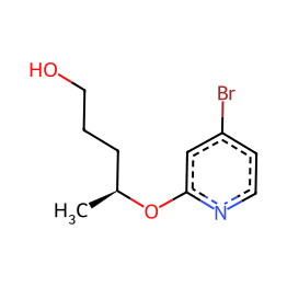 C[C@@H](CCCO)Oc1cc(Br)ccn1